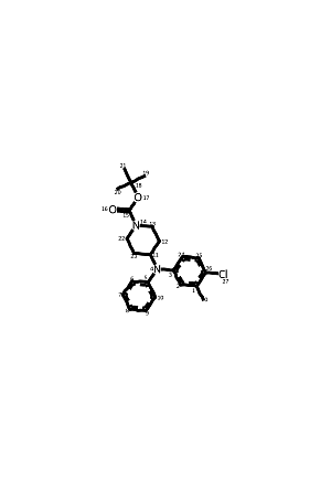 Cc1cc(N(c2ccccc2)C2CCN(C(=O)OC(C)(C)C)CC2)ccc1Cl